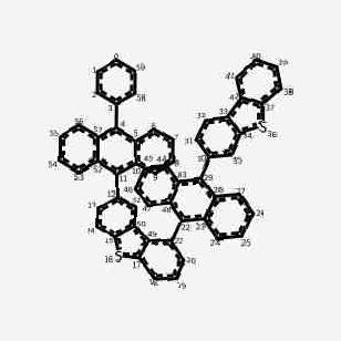 c1ccc(-c2c3ccccc3c(-c3ccc4sc5cccc(-c6c7ccccc7c(-c7ccc8c(c7)sc7ccccc78)c7ccccc67)c5c4c3)c3ccccc23)cc1